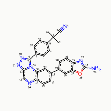 CC(C)(C#N)c1ccc(-c2nnc3cnc4ccc(-c5ccc6nc(N)oc6c5)cc4n23)cc1